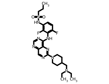 CCCS(=O)(=O)Nc1ccc(F)c(Nc2ncnc3cnc(N4CCC(CN(CC)CC)CC4)nc23)c1F